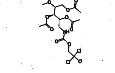 COC(COC(C)=O)[C@H](OC(C)=O)[C@@H](CNC(=O)OCC(Cl)(Cl)Cl)OC(C)=O